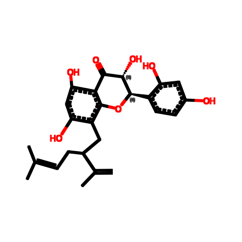 C=C(C)C(CC=C(C)C)Cc1c(O)cc(O)c2c1O[C@H](c1ccc(O)cc1O)[C@@H](O)C2=O